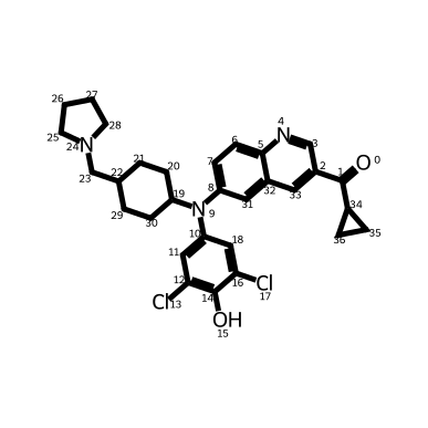 O=C(c1cnc2ccc(N(c3cc(Cl)c(O)c(Cl)c3)C3CCC(CN4CCCC4)CC3)cc2c1)C1CC1